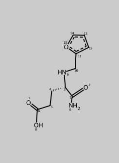 NC(=O)[C@H](CCC(=O)O)NCc1ccco1